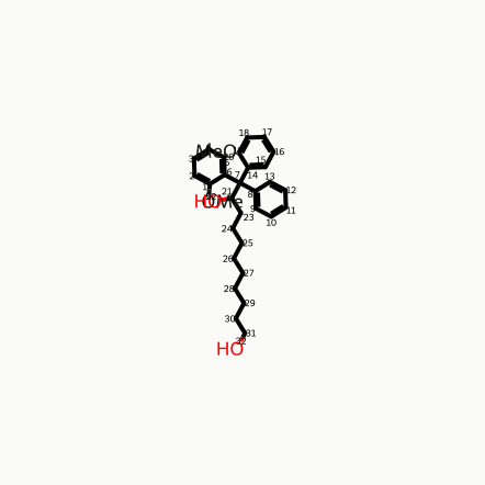 COc1ccccc1C(c1ccccc1)(c1ccccc1OC)C(O)CCCCCCCCCO